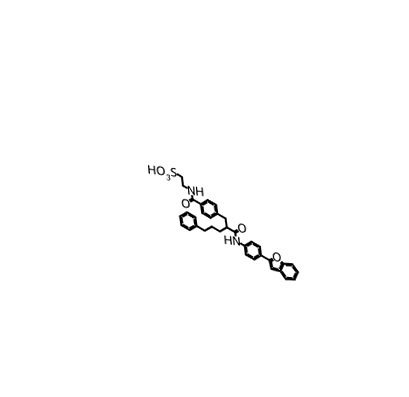 O=C(NCCS(=O)(=O)O)c1ccc(CC(CCCc2ccccc2)C(=O)Nc2ccc(-c3cc4ccccc4o3)cc2)cc1